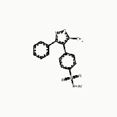 CC(=O)NS(=O)(=O)c1ccc(-c2c(-c3ccccc3)noc2C)cc1